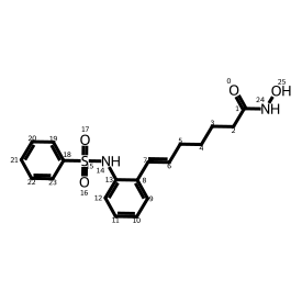 O=C(CCCC/C=C/c1ccccc1NS(=O)(=O)c1ccccc1)NO